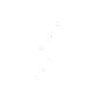 CC(C)(C)c1cc(CCC(=O)Nc2ccc(NC(=O)CCc3cc(C(C)(C)C)c(O)c(C(C)(C)CCC(C)(C)c4cc(CCC(=O)NNC(=S)NC(=O)c5ccccc5)cc(C(C)(C)C)c4O)c3)cc2)cc(C(C)(C)C)c1O